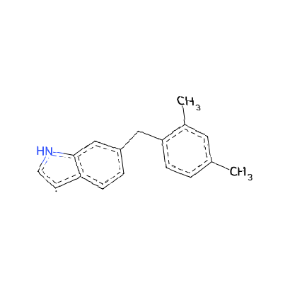 Cc1ccc(Cc2ccc3[c]c[nH]c3c2)c(C)c1